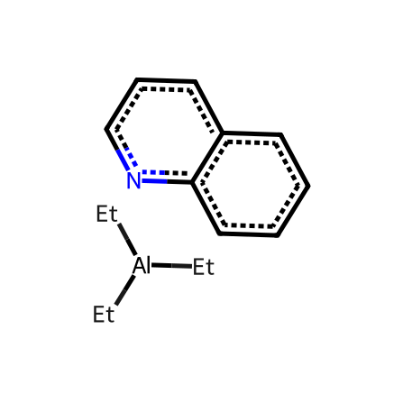 C[CH2][Al]([CH2]C)[CH2]C.c1ccc2ncccc2c1